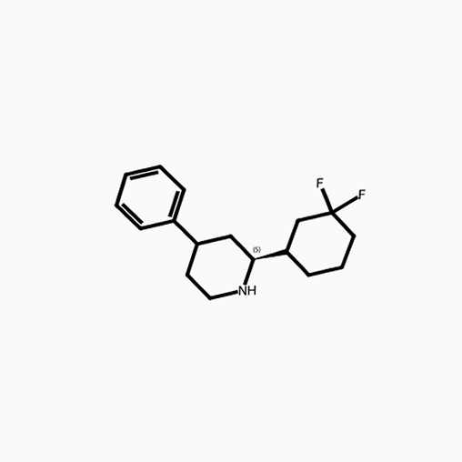 FC1(F)CCCC([C@@H]2CC(c3ccccc3)CCN2)C1